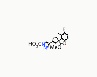 COC(=O)C1(c2cccc(F)c2C)C=C(c2cnn(C(=O)O)c2)CC1